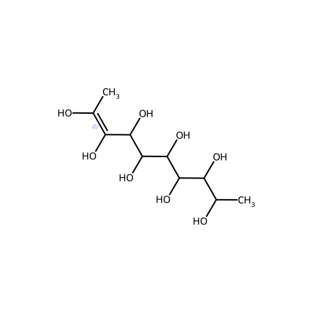 C/C(O)=C(/O)C(O)C(O)C(O)C(O)C(O)C(C)O